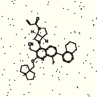 C=CC(=O)N1CC[C@@H]2[C@H]1CN2c1c(CC#N)c(OCC23CCCN2CCC3)nc2c(F)c(-c3cccc4c3CCCC4)ccc12